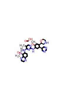 COc1cc(C2CNCCO2)c(-c2cncnc2)cc1Nc1ncc(C)c(Nc2ccc3nccnc3c2P(C)(C)=O)n1.O=CO